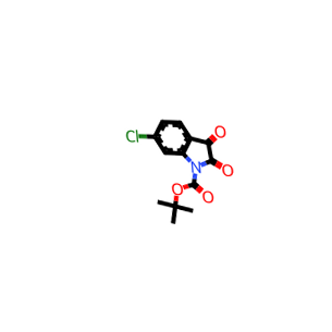 CC(C)(C)OC(=O)N1C(=O)C(=O)c2ccc(Cl)cc21